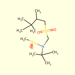 CC(CS(=O)(=O)CN(C(C)(C)C)S(C)(=O)=O)C(C)(C)C